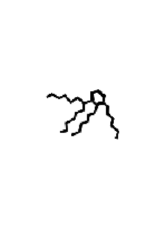 CCCCCC[C](CCCCCC)c1cccc(CCCCCC)c1CCCCCC